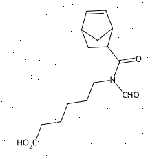 O=CN(CCCCCC(=O)O)C(=O)C1CC2C=CC1C2